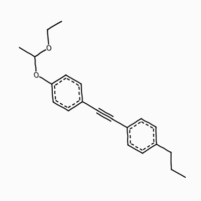 CCCc1ccc(C#Cc2ccc(OC(C)OCC)cc2)cc1